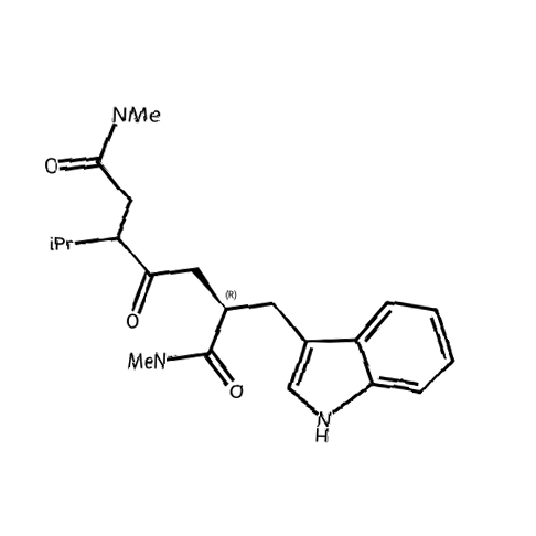 CNC(=O)CC(C(=O)C[C@@H](Cc1c[nH]c2ccccc12)C(=O)NC)C(C)C